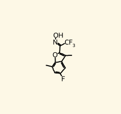 Cc1c(/C(=N/O)C(F)(F)F)oc2c(C)cc(F)cc12